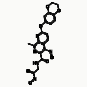 Cc1nc(C(=O)NCC(=O)N=O)c(N=O)c2ccc(Oc3ccc4c(c3)OCCO4)nc12